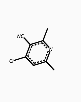 Cc1cc(Cl)c(C#N)c(C)n1